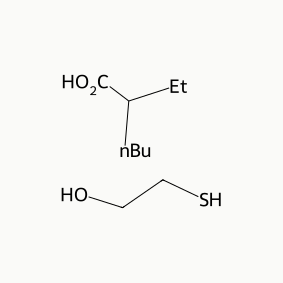 CCCCC(CC)C(=O)O.OCCS